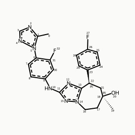 Cc1ncnn1-c1ccc(Nc2nc3n(n2)CC[C@](C)(O)C[C@@H]3c2ccc(F)cc2)cc1F